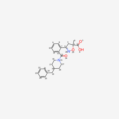 CC1(C(=O)O)CC(c2ccccc2C(=O)N2CCC(Cc3ccccc3)CC2)=NO1